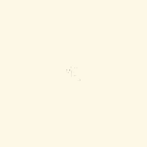 [Co].[Fe].[La].[Mn]